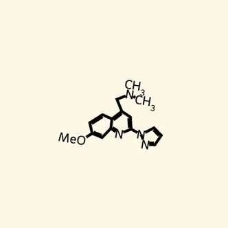 COc1ccc2c(CN(C)C)cc(-n3cccn3)nc2c1